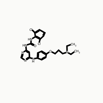 CCN(CC)CCCOc1ccc(Nc2cc(NC(=O)Nc3c(Cl)cccc3Cl)ncn2)cc1